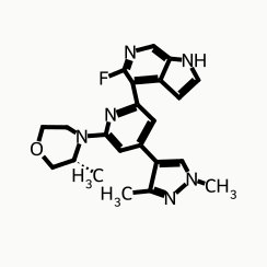 Cc1nn(C)cc1-c1cc(-c2c(F)ncc3[nH]ccc23)nc(N2CCOC[C@H]2C)c1